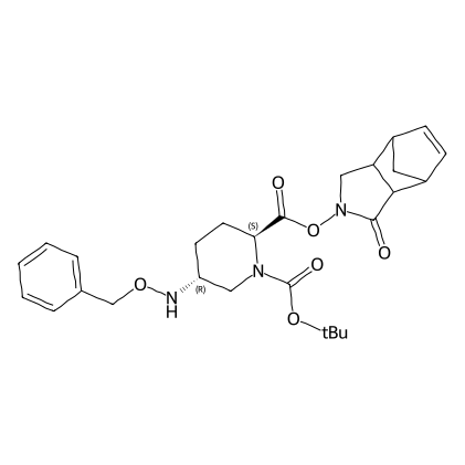 CC(C)(C)OC(=O)N1C[C@H](NOCc2ccccc2)CC[C@H]1C(=O)ON1CC2C3C=CC(C3)C2C1=O